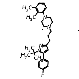 Cc1cccc(N2CCN(CCCc3cc(-c4ccc(F)cc4)n(C(C)(C)C)n3)CC2)c1C